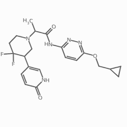 CC(C(=O)Nc1ccc(OCC2CC2)nn1)N1CCC(F)(F)C(c2ccc(=O)[nH]c2)C1